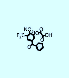 O=C(O)C(=O)O.O=C(c1ccccc1)c1ccc([N+](=O)[O-])c(C(F)(F)F)c1